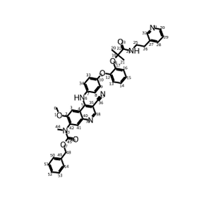 COc1cc2c(Nc3ccc(Oc4ccccc4OC(C)(C)C(=O)NCCc4cccnc4)cc3)c(C#N)cnc2cc1N(C)C(=O)OCc1ccccc1